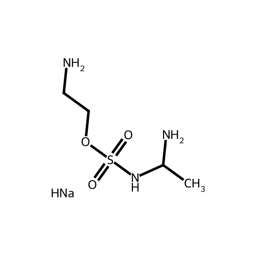 CC(N)NS(=O)(=O)OCCN.[NaH]